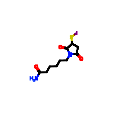 NC(=O)CCCCCN1C(=O)CC(SI)C1=O